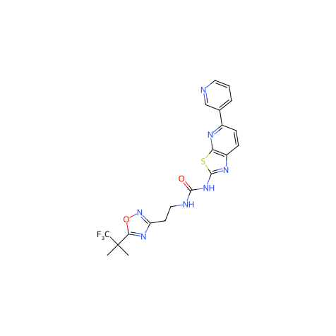 CC(C)(c1nc(CCNC(=O)Nc2nc3ccc(-c4cccnc4)nc3s2)no1)C(F)(F)F